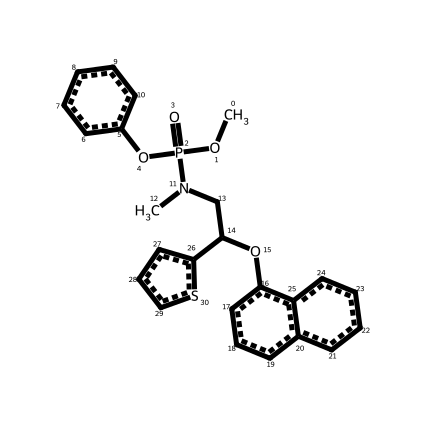 COP(=O)(Oc1ccccc1)N(C)CC(Oc1cccc2ccccc12)c1cccs1